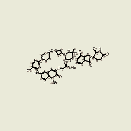 CNC(=O)COc1cc2cc(Nc3nc(N4CCC(O[C@H]5C[C@H](N6CC[C@@H](c7ccc8c(c7F)CN([C@@H]7CCC(=O)NC7=O)C8=O)C(C)(C)C6)C5)CC4)ncc3Cl)ccc2n(C(C)C)c1=O